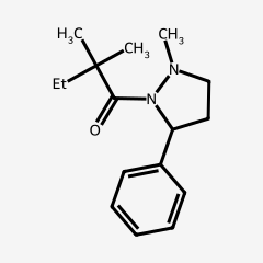 CCC(C)(C)C(=O)N1C(c2ccccc2)CCN1C